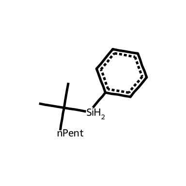 CCCCCC(C)(C)[SiH2]c1ccccc1